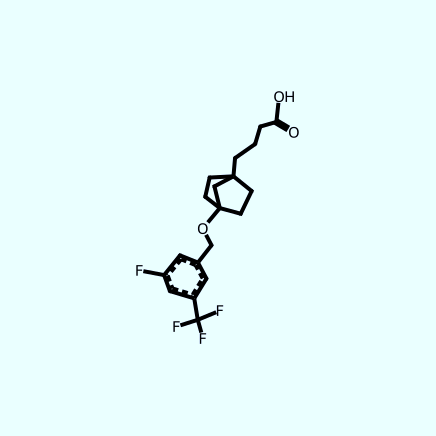 O=C(O)CCCC12CCC(OCc3cc(F)cc(C(F)(F)F)c3)(CC1)C2